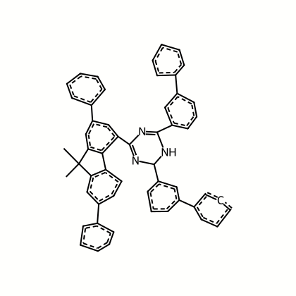 CC1(C)c2cc(-c3ccccc3)ccc2-c2c(C3=NC(c4cccc(-c5ccccc5)c4)NC(c4cccc(-c5ccccc5)c4)=N3)cc(-c3ccccc3)cc21